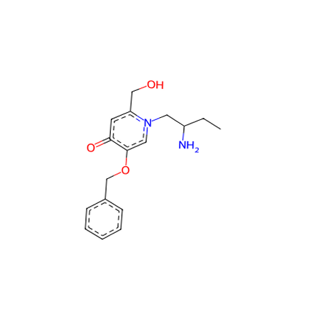 CCC(N)Cn1cc(OCc2ccccc2)c(=O)cc1CO